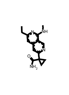 CCc1cc2cc(C3(C(N)=O)CC3)ncc2c(NC)n1